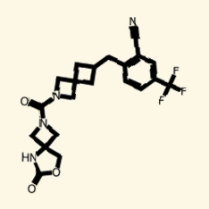 N#Cc1cc(C(F)(F)F)ccc1CC1CC2(C1)CN(C(=O)N1CC3(COC(=O)N3)C1)C2